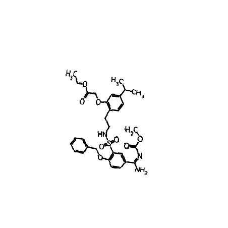 [CH2]OC(=O)/N=C(/N)c1ccc(OCc2ccccc2)c(S(=O)(=O)NCCc2ccc(C(C)C)cc2OCC(=O)OCC)c1